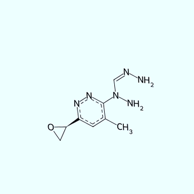 Cc1cc([C@H]2CO2)nnc1N(N)/C=N\N